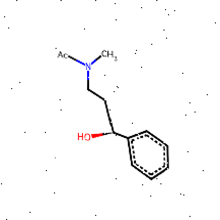 CC(=O)N(C)CC[C@H](O)c1ccccc1